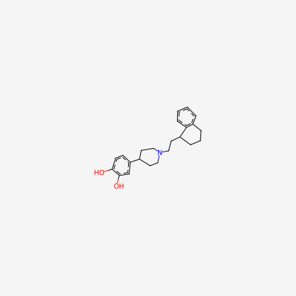 Oc1ccc(C2CCN(CCC3CCCc4ccccc43)CC2)cc1O